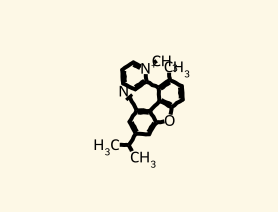 Cc1ccc2oc3cc(C(C)C)cc(C#N)c3c2c1-c1cccc[n+]1C